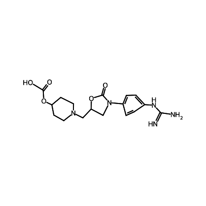 N=C(N)Nc1ccc(N2CC(CN3CCC(OC(=O)O)CC3)OC2=O)cc1